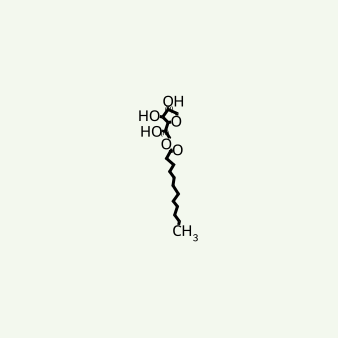 CCCCCCCCCCCC(=O)OC[C@@H](O)C1OC[C@@H](O)C1O